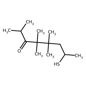 CC(S)CC(C)(C)C(C)(C)C(=O)C(C)C